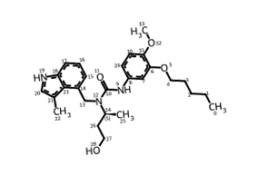 CCCCCOc1cc(NC(=O)N(Cc2cccc3[nH]cc(C)c23)[C@@H](C)CCO)ccc1OC